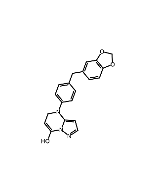 OC1=CCN(c2ccc(Cc3ccc4c(c3)OCO4)cc2)c2ccnn21